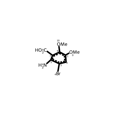 COc1cc(Br)c(N)c(C(=O)O)c1OC